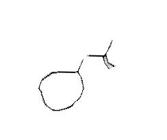 C=C(CC)NC1CCCCC1